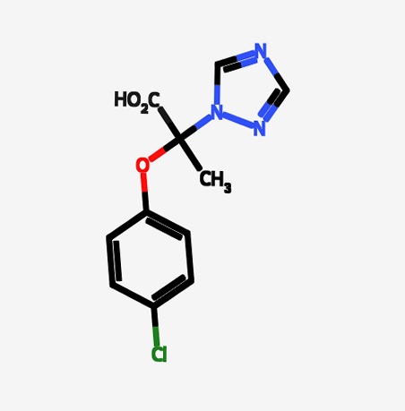 CC(Oc1ccc(Cl)cc1)(C(=O)O)n1cncn1